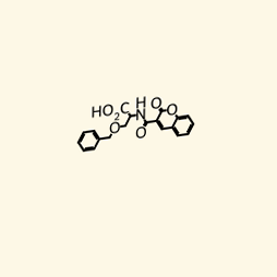 O=C(NC(COCc1ccccc1)C(=O)O)c1cc2ccccc2oc1=O